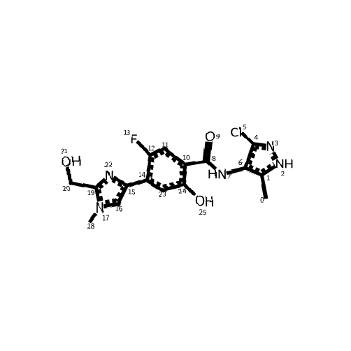 Cc1[nH]nc(Cl)c1NC(=O)c1cc(F)c(-c2cn(C)c(CO)n2)cc1O